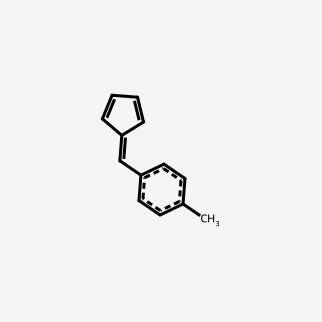 Cc1ccc(C=C2C=CC=C2)cc1